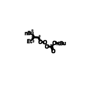 CCCCC(CC)COOOC(=O)OC(C)(C)C